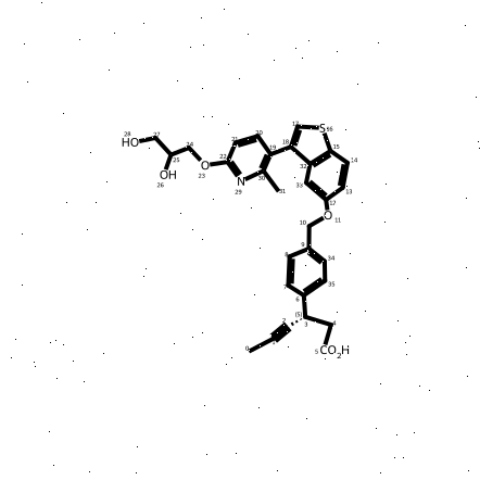 CC#C[C@@H](CC(=O)O)c1ccc(COc2ccc3scc(-c4ccc(OCC(O)CO)nc4C)c3c2)cc1